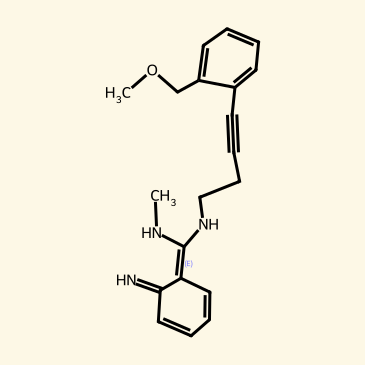 CN/C(NCCC#Cc1ccccc1COC)=C1/C=CC=CC1=N